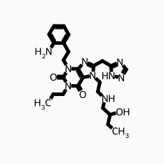 CCCn1c(=O)c2c(nc(Cc3ncn[nH]3)n2CCNCC(O)CC)n(CCc2ccccc2N)c1=O